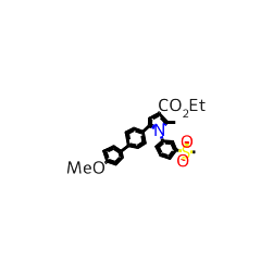 CCOC(=O)c1cc(-c2ccc(-c3ccc(OC)cc3)cc2)n(-c2cccc(S(C)(=O)=O)c2)c1C